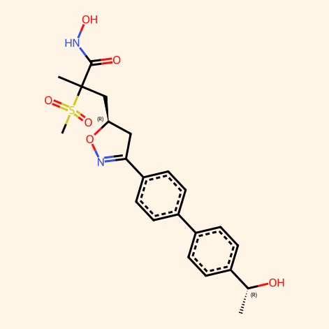 C[C@@H](O)c1ccc(-c2ccc(C3=NO[C@@H](CC(C)(C(=O)NO)S(C)(=O)=O)C3)cc2)cc1